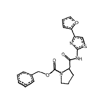 O=C(Nc1nc(-c2ccco2)cs1)C1CCCN1C(=O)OCc1ccccc1